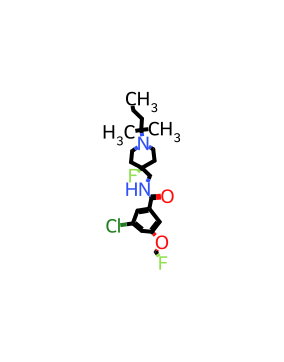 CCCC(C)(C)N1CCC(F)(CNC(=O)c2cc(Cl)cc(OCF)c2)CC1